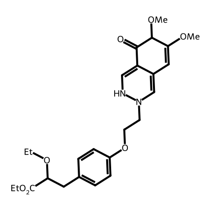 CCOC(=O)C(Cc1ccc(OCCN2C=C3C=C(OC)C(OC)C(=O)C3=CN2)cc1)OCC